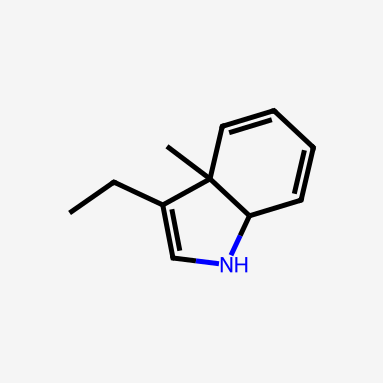 CCC1=CNC2C=CC=CC12C